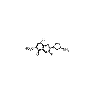 CCn1cc(C(=O)O)c(=O)c2cc(F)c(N3CCC(N)C3)nc21